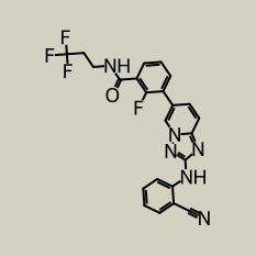 N#Cc1ccccc1Nc1nc2ccc(-c3cccc(C(=O)NCCC(F)(F)F)c3F)cn2n1